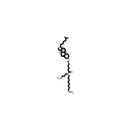 CC(C)CCC[C@@H](C)[C@H]1CC[C@H]2[C@@H]3CC=C4C[C@@H](SSCCCCC(=O)N(CCCN)CCCCCCCCN)CC[C@]4(C)[C@H]3CC[C@]12C